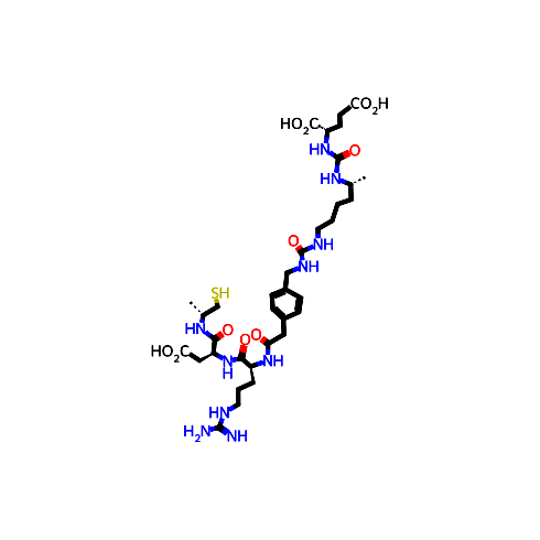 C[C@H](CCCCNC(=O)NCc1ccc(CC(=O)N[C@@H](CCCNC(=N)N)C(=O)N[C@@H](CC(=O)O)C(=O)N[C@H](C)CS)cc1)NC(=O)N[C@@H](CCC(=O)O)C(=O)O